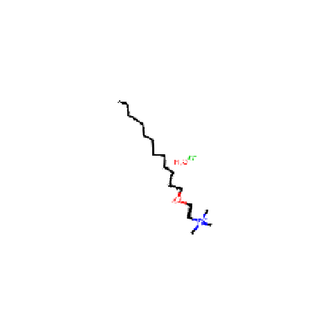 CCCCCCCCCCCCOCC[N+](C)(C)C.O.[Cl-]